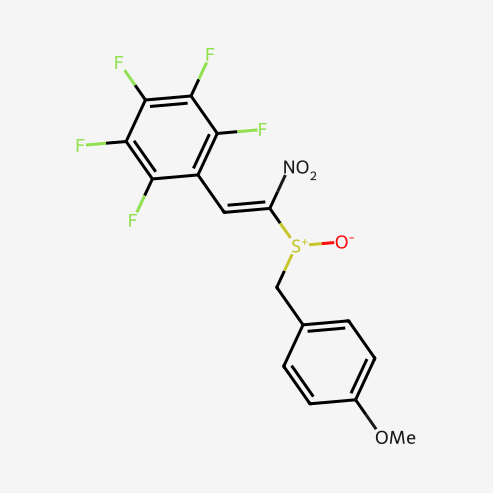 COc1ccc(C[S+]([O-])C(=Cc2c(F)c(F)c(F)c(F)c2F)[N+](=O)[O-])cc1